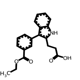 CCOC(=O)c1cccc(-c2c(CCC(=O)O)[nH]c3ccccc23)c1